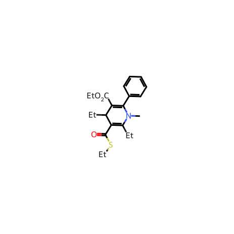 CCOC(=O)C1=C(c2ccccc2)N(C)C(CC)=C(C(=O)SCC)C1CC